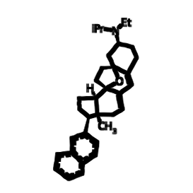 CCN(C(C)C)[C@H]1CCC2=CC3=CC[C@]4(C)[C@@H](c5ccc6ccccc6c5)CC[C@H]4[C@@]34CC[C@]2(C1)O4